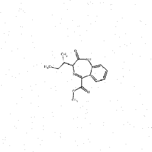 CC[C@H](C)C1N=C(C(=O)OC)c2ccccc2NC1=O